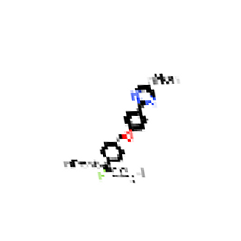 CCCCCCCCCc1cnc(-c2ccc(OC[C@H]3CC[C@H]([C@@](F)(CCCCC)C(=O)O)CC3)cc2)nc1